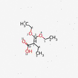 CCO[SiH](OCC)C(CC)C(=O)O